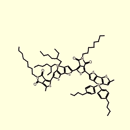 CCCCCCCCN1C(=O)c2c(C)sc(-c3cc4c(s3)-c3sc(-c5sc(-c6cc7c(s6)-c6sc(C)cc6[Si]7(c6ccc(CCCC)cc6)c6ccc(CCCC)cc6)c6c5C(=O)N(CCCCCCCC)C6=O)cc3[Si]4(CC(CC)CCCC)CC(CC)CCCC)c2C1=O